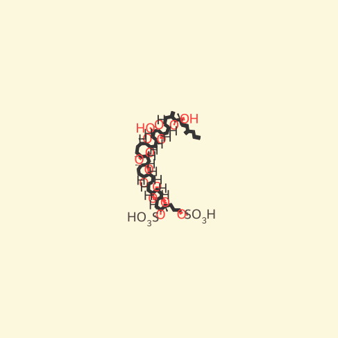 C=CCC(=C)/C=C/[C@@](C)(O)[C@H]1O[C@@H]2C[C@@H]3O[C@@H]4C[C@@H]5O[C@@H]6C[C@@H]7O[C@@H]8C[C@@H]9O[C@@H]%10C[C@@H]%11O[C@](C)(CCCOS(=O)(=O)O)[C@@H](OS(=O)(=O)O)C[C@H]%11O[C@H]%10C[C@H]9O[C@H]8CC[C@@]7(C)O[C@@]6(C)CC[C@H](C)[C@H]5O[C@H]4[C@@H](O)[C@@]3(C)O[C@H]2CC1=C